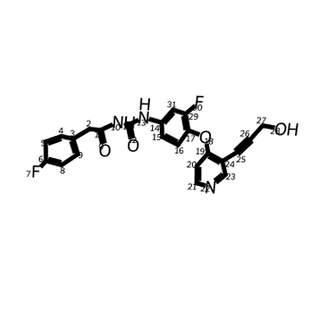 O=C(Cc1ccc(F)cc1)NC(=O)Nc1ccc(Oc2ccncc2C#CCO)c(F)c1